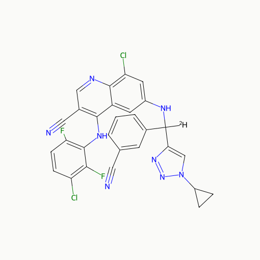 [2H]C(Nc1cc(Cl)c2ncc(C#N)c(Nc3c(F)ccc(Cl)c3F)c2c1)(c1cccc(C#N)c1)c1cn(C2CC2)nn1